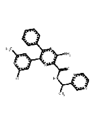 Cc1cc(-c2nc(C(=O)NC(C)c3cnccn3)c(N)nc2-c2ccccc2)cc(Cl)n1